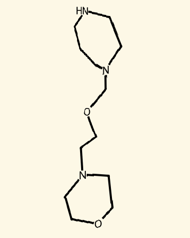 C1CN(COCCN2CCOCC2)CCN1